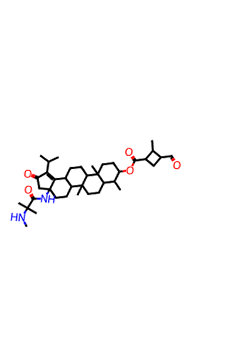 CNC(C)(C)C(=O)NC12CCC3C(CCC4C3(C)CCC3C(C)C(OC(=O)C5CC(C=O)C5C)CCC34C)C1=C(C(C)C)C(=O)C2